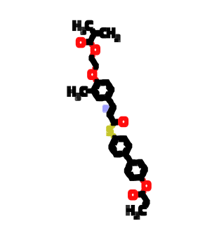 C=CC(=O)Oc1ccc(-c2ccc(SC(=O)/C=C/c3ccc(OCCOC(=O)C(=C)C)c(C)c3)cc2)cc1